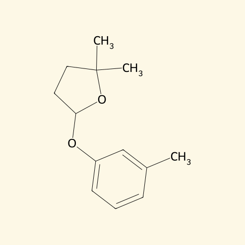 Cc1cccc(OC2CCC(C)(C)O2)c1